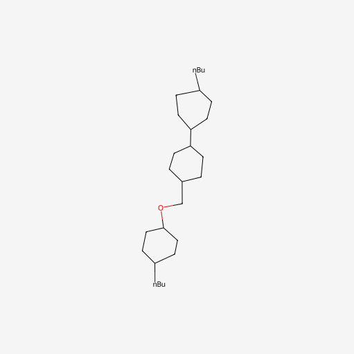 CCCCC1CCC(OCC2CCC(C3CCC(CCCC)CC3)CC2)CC1